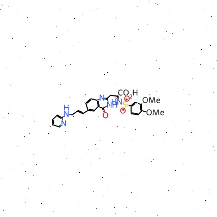 COc1ccc(S(=O)(=O)N[C@@H](Cc2nc3ccc(C=CCNc4ccccn4)cc3c(=O)[nH]2)C(=O)O)cc1OC